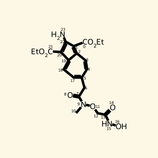 CCOC(=O)c1c2ccc(CC(=O)N(C)OCC(=O)NO)ccc-2c(C(=O)OCC)c1N